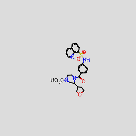 O=C(O)N1CCN(C(=O)c2ccc(NS(=O)(=O)c3cccc4cccnc34)cc2)C(C2CCOC2)C1